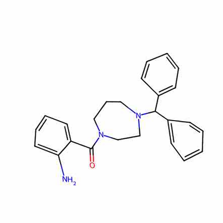 Nc1ccccc1C(=O)N1CCCN(C(c2ccccc2)c2ccccc2)CC1